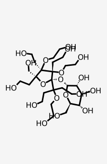 OCCOC(CCO)(CCO)[C@@]1(O[C@H]2O[C@H](CO)[C@@H](O)[C@H](O)[C@H]2O)O[C@@](CO)(CCO)[C@@](CCO)(OCCO)[C@]1(CCO)OCCO